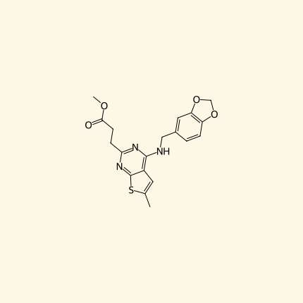 COC(=O)CCc1nc(NCc2ccc3c(c2)OCO3)c2cc(C)sc2n1